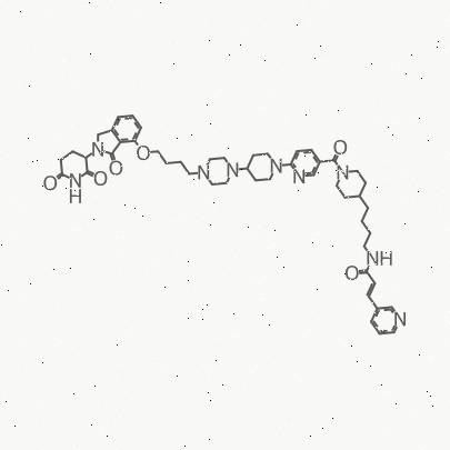 O=C(/C=C/c1cccnc1)NCCCCC1CCN(C(=O)c2ccc(N3CCC(N4CCN(CCCCOc5cccc6c5C(=O)N(C5CCC(=O)NC5=O)C6)CC4)CC3)nc2)CC1